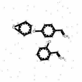 C=Cc1ccc(Cl)cc1.C=Cc1ccccc1Cl.c1ccc2c(c1)O2